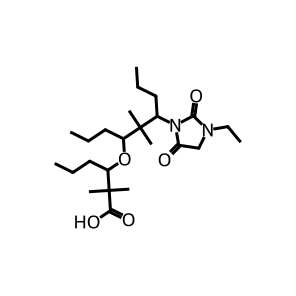 CCCC(OC(CCC)C(C)(C)C(CCC)N1C(=O)CN(CC)C1=O)C(C)(C)C(=O)O